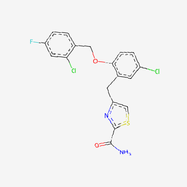 NC(=O)c1nc(Cc2cc(Cl)ccc2OCc2ccc(F)cc2Cl)cs1